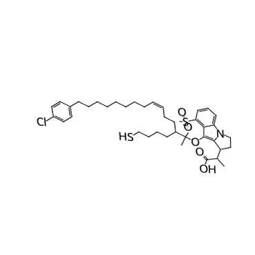 CC(C(=O)O)C1CCn2c1c(OC(C)(C)C(CC/C=C\CCCCCCCCc1ccc(Cl)cc1)CCCCS)c1c(S(C)(=O)=O)cccc12